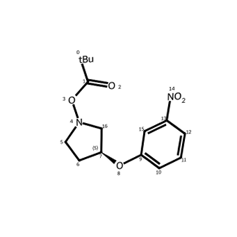 CC(C)(C)C(=O)ON1CC[C@H](Oc2cccc([N+](=O)[O-])c2)C1